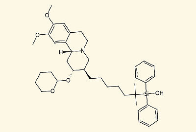 COc1cc2c(cc1OC)[C@H]1C[C@@H](OC3CCCCO3)[C@H](CCCCCC(C)(C)[Si](O)(c3ccccc3)c3ccccc3)CN1CC2